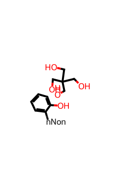 CCCCCCCCCc1ccccc1O.OCC(CO)(CO)CO